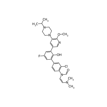 COc1ncc(-c2cc(F)cc(-c3ccc(N(C=O)/C=C\N(C)C)c(Cl)c3)c2O)cc1N1CCN(C(C)C)CC1